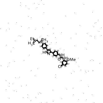 CCN(C)CCN(C)c1ccc(-c2cc(-c3ccc(NC(=O)Nc4cc(Cl)ccc4OC)cc3)n[nH]2)cc1